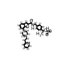 CC(O[SH](=O)=O)c1ccc(CNC(=O)c2cc3cccc(N4CCN(CCc5ccccn5)CC4)c3o2)cc1